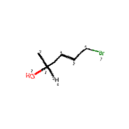 [2H]C(C)(O)CCCBr